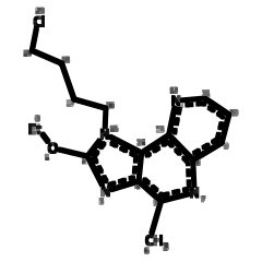 CCOc1nc2c(C)nc3cccnc3c2n1CCCCCl